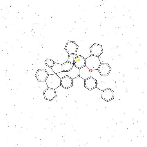 c1ccc(-c2ccc(N(c3ccc4c(c3)C3(c5ccccc5-c5ccccc5-4)c4ccccc4-c4c3ccc3sc5ccccc5c43)c3cccc4c3Oc3ccccc3-c3ccccc3-4)cc2)cc1